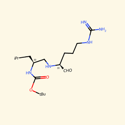 CC(C)C[C@@H](CN[C@H](C=O)CCCNC(=N)N)NC(=O)OC(C)(C)C